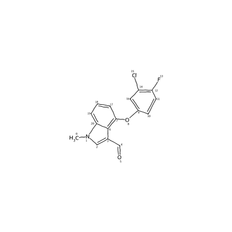 Cn1cc(C=O)c2c(Oc3ccc(F)c(Cl)c3)cccc21